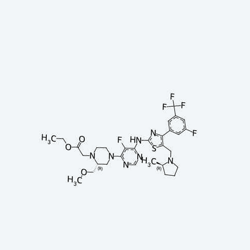 CCOC(=O)CN1CCN(c2ncnc(Nc3nc(-c4cc(F)cc(C(F)(F)F)c4)c(CN4CCC[C@H]4C)s3)c2F)C[C@@H]1COC